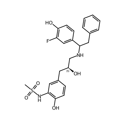 CS(=O)(=O)Nc1cc(C[C@H](O)CNC(Cc2ccccc2)c2ccc(O)c(F)c2)ccc1O